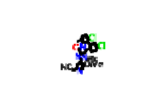 COc1cnc(CC#N)cc1-c1nc2c(n1C(C)C)C1c3ccc(Cl)cc3-c3c(Cl)ccc(C)c3N1C2=O